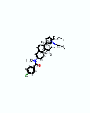 C[C@H]1[C@H]2CC[C@H]3[C@@H]4CC=C5C[C@@H](N(C)C(=O)c6ccc(F)cc6)CC[C@]5(C)C4CC[C@]23CN1C